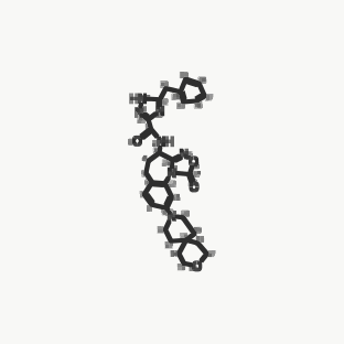 O=C(NC1CCc2ccc(N3CCC4(CCOCC4)CC3)cc2-n2c1noc2=O)c1n[nH]c(Cc2ccccc2)n1